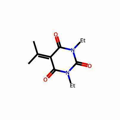 CCN1C(=O)C(=C(C)C)C(=O)N(CC)C1=O